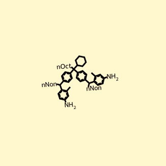 CCCCCCCCCC(c1ccc(C(CCCCCCCC)(c2ccc(C(CCCCCCCCC)c3ccc(N)cc3C)cc2)C2CCCCC2)cc1)c1ccc(N)cc1C